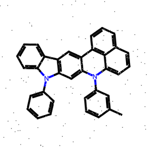 Cc1cccc(N2c3cc4c(cc3-c3cccc5cccc2c35)c2ccccc2n4-c2ccccc2)c1